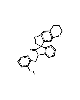 Cc1cccnc1CN1C(=O)C2(COc3cc4c(cc32)OCCC4)c2ccccc21